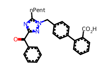 CCCCCc1nc(C(=O)c2ccccc2)nn1Cc1ccc(-c2ccccc2C(=O)O)cc1